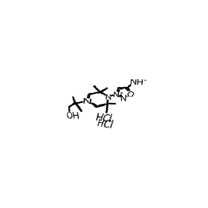 CC(C)(CO)N1CC(C)(C)N([n+]2cc([NH-])on2)C(C)(C)C1.Cl.Cl